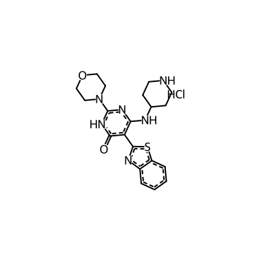 Cl.O=c1[nH]c(N2CCOCC2)nc(NC2CCNCC2)c1-c1nc2ccccc2s1